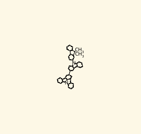 CC1(C)c2ccccc2-c2ccc(-n3c4ccccc4c4cc(-c5cc6c7ccccc7n7c8ccccc8c(c5)c67)ccc43)cc21